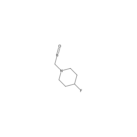 O=BCN1CCC(F)CC1